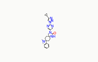 CN(C)C1(c2ccccc2)CCC2(CC1)CN(c1cnc(-n3cc(C4CC4)nn3)nc1)C(=O)N2